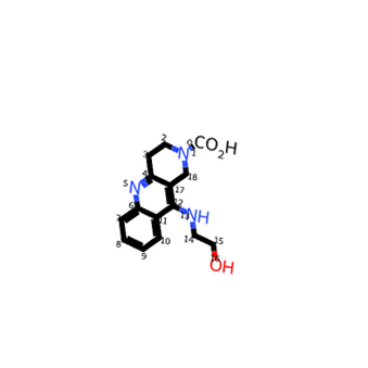 O=C(O)N1CCc2nc3ccccc3c(NCCO)c2C1